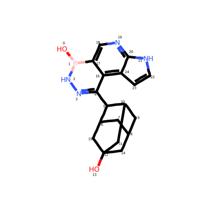 OB1NN=C(C2C3CC4CC2CC(O)(C4)C3)c2c1cnc1[nH]ccc21